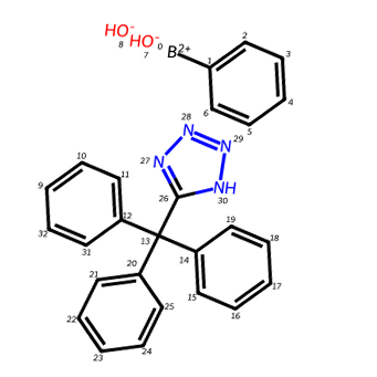 [B+2]c1ccccc1.[OH-].[OH-].c1ccc(C(c2ccccc2)(c2ccccc2)c2nnn[nH]2)cc1